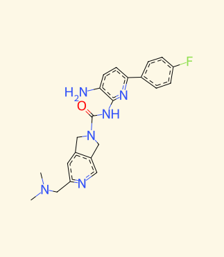 CN(C)Cc1cc2c(cn1)CN(C(=O)Nc1nc(-c3ccc(F)cc3)ccc1N)C2